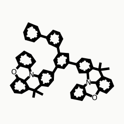 CC1(C)c2ccc(-c3cc(-c4cccc(-c5ccccc5)c4)cc(-c4ccc5c(c4)N4c6ccccc6Oc6cccc(c64)C5(C)C)c3)cc2N2c3ccccc3Oc3cccc1c32